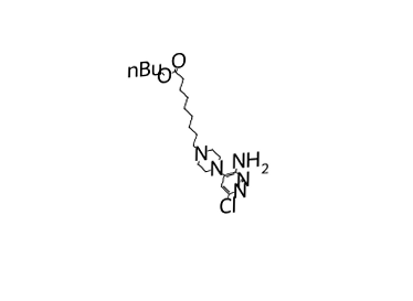 CCCCOC(=O)CCCCCCCCN1CCN(c2cc(Cl)nnc2N)CC1